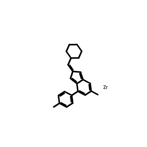 Cc1ccc(-c2cc(C)cc3c2=CC(=CC2CCCCC2)[C]=3)cc1.[Zr]